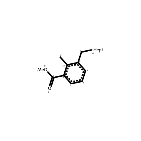 CCCCCCCCc1cccc(C(=O)OC)c1C